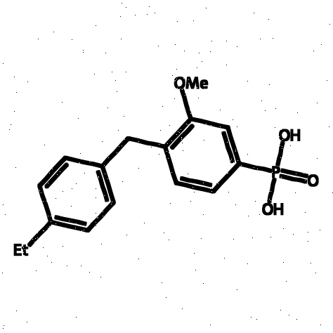 CCc1ccc(Cc2ccc(P(=O)(O)O)cc2OC)cc1